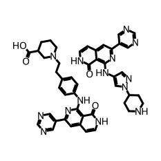 O=C(O)C1CCCN(CCc2ccc(Nc3nc(-c4cncnc4)cc4cc[nH]c(=O)c34)cc2)C1.O=c1[nH]ccc2cc(-c3cncnc3)nc(Nc3cnn(C4CCNCC4)c3)c12